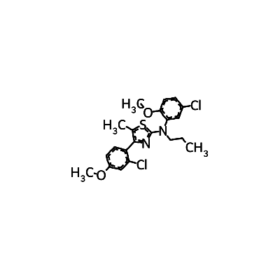 CCCN(c1nc(-c2ccc(OC)cc2Cl)c(C)s1)c1cc(Cl)ccc1OC